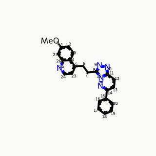 COc1ccc2c(CCc3nnc4ccc(-c5ccccc5)nn34)ccnc2c1